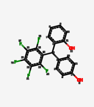 Oc1ccc(C(c2ccccc2O)c2c(F)c(F)c(F)c(F)c2F)cc1